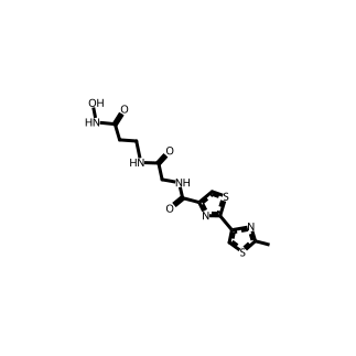 Cc1nc(-c2nc(C(=O)NCC(=O)NCCC(=O)NO)cs2)cs1